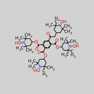 CC1(C)CC(CC(=O)c2cc(C(=O)OC3CC(C)(C)N(O)C(C)(C)C3)c(C(=O)OC3CC(C)(C)N(O)C(C)(C)C3)cc2C(=O)OC2CC(C)(C)N(O)C(C)(C)C2)CC(C)(C)N1O